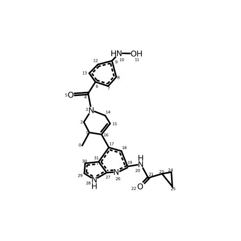 CC1CN(C(=O)c2ccc(NO)cc2)CC=C1c1cc(NC(=O)C2CC2)nc2[nH]ccc12